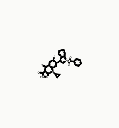 O=c1[nH]sc2c1c(=O)c1cc(F)c(-c3cn(S(=O)(=O)c4ccccc4)c4ccccc34)cc1n2C1CC1